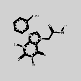 CCNC(=O)Cn1cnc2c1c(=O)n(CC)c(=O)n2CC.COc1ccccc1